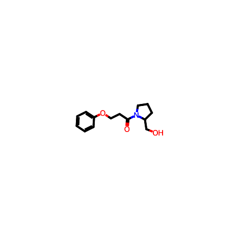 O=C(CCOc1ccccc1)N1CCCC1CO